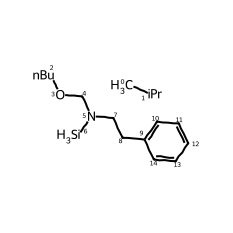 CC(C)C.CCCCOCN([SiH3])CCc1ccccc1